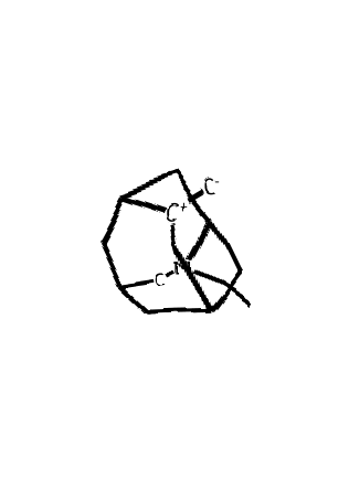 [CH2-][C+]1C2CC3CC1CC(C2)N(C)C3